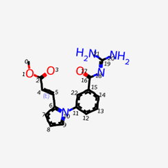 COC(=O)/C=C/c1cccn1-c1cccc(C(=O)N=C(N)N)c1